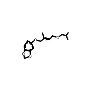 C/C(=C\COCC(C)C)COc1ccc2c(c1)OCO2